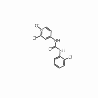 O=C(Nc1cc[n+]([O-])c(Cl)c1)Nc1ccccc1Cl